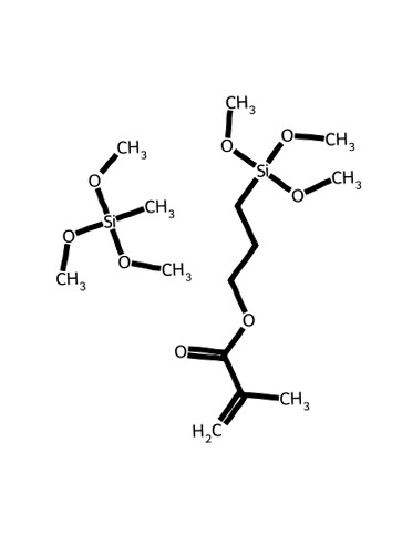 C=C(C)C(=O)OCCC[Si](OC)(OC)OC.CO[Si](C)(OC)OC